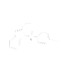 CC(C)(C)c1ccc(S(=O)(=O)n2c(OC(=O)O)cc3ccccc32)cc1